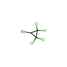 CCC1C(Cl)(Cl)C1(Cl)Cl